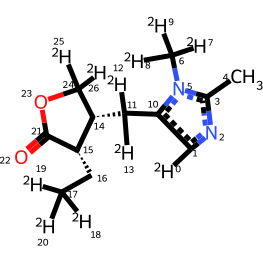 [2H]c1nc(C)n(C([2H])([2H])[2H])c1C([2H])([2H])[C@@H]1[C@H](CC([2H])([2H])[2H])C(=O)OC1([2H])[2H]